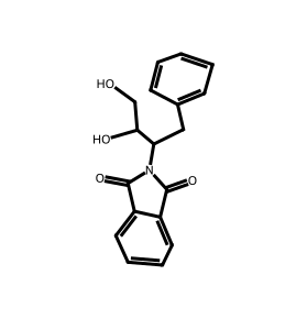 O=C1c2ccccc2C(=O)N1C(Cc1ccccc1)C(O)CO